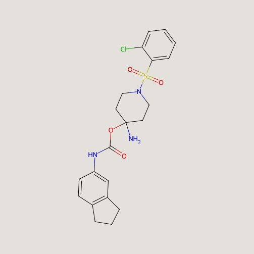 NC1(OC(=O)Nc2ccc3c(c2)CCC3)CCN(S(=O)(=O)c2ccccc2Cl)CC1